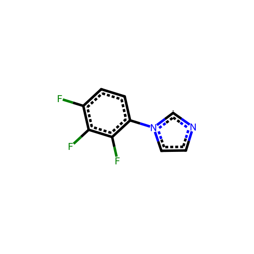 Fc1ccc(-n2[c]ncc2)c(F)c1F